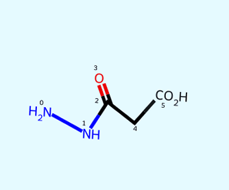 NNC(=O)CC(=O)O